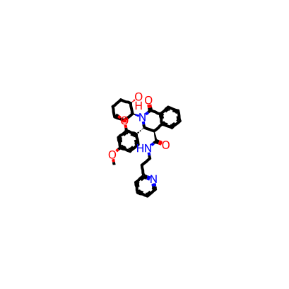 COc1ccc([C@H]2[C@H](C(=O)NCCc3ccccn3)c3ccccc3C(=O)N2[C@H]2CCCC[C@@H]2O)c(OC)c1